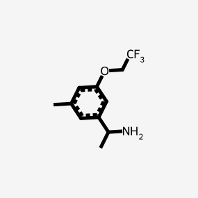 Cc1cc(OCC(F)(F)F)cc(C(C)N)c1